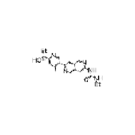 CCNC(=O)Nc1cc2cnc(-c3cnc([C@H](O)CC)cc3C)cc2cn1